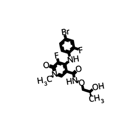 C[C@H](O)CONC(=O)c1cn(C)c(=O)c(F)c1Nc1ccc(Br)cc1F